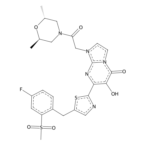 C[C@@H]1CN(C(=O)Cn2ccn3c(=O)c(O)c(-c4ncc(Cc5ccc(F)cc5S(C)(=O)=O)s4)nc23)C[C@@H](C)O1